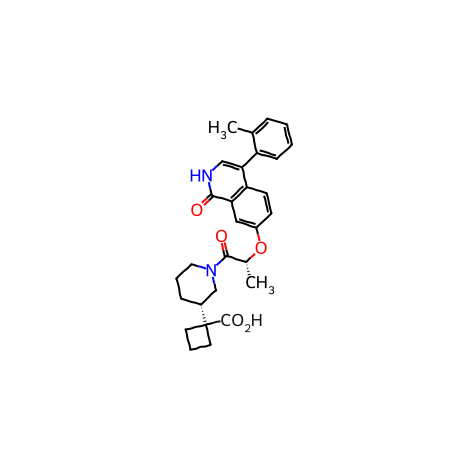 Cc1ccccc1-c1c[nH]c(=O)c2cc(O[C@H](C)C(=O)N3CCC[C@@H](C4(C(=O)O)CCC4)C3)ccc12